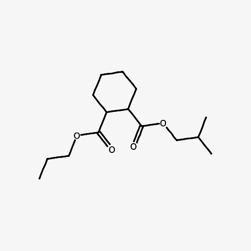 CCCOC(=O)C1CCCCC1C(=O)OCC(C)C